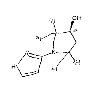 [2H]C1([2H])C[C@H](O)C([2H])([2H])N1c1cc[nH]n1